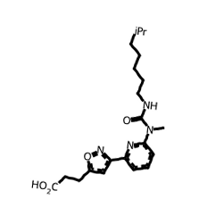 CC(C)CCCCCNC(=O)N(C)c1cccc(-c2cc(CCC(=O)O)on2)n1